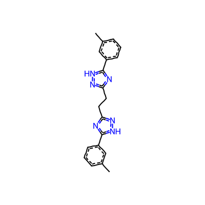 Cc1cccc(-c2nc(CCc3n[nH]c(-c4cccc(C)c4)n3)n[nH]2)c1